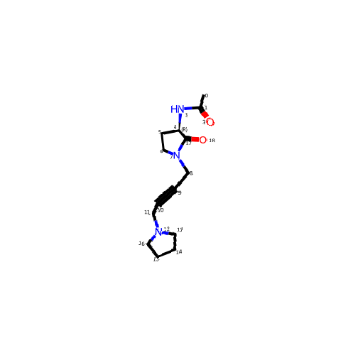 CC(=O)N[C@@H]1CCN(CC#CCN2CCCC2)C1=O